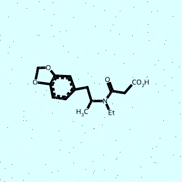 CCN(C(=O)CC(=O)O)C(C)Cc1ccc2c(c1)OCO2